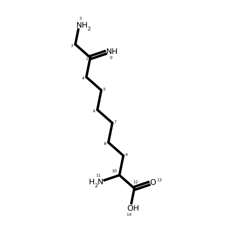 N=C(CN)CCCCCCC(N)C(=O)O